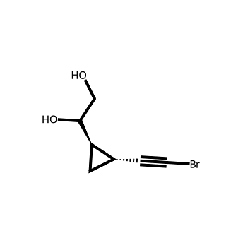 OCC(O)[C@@H]1C[C@H]1C#CBr